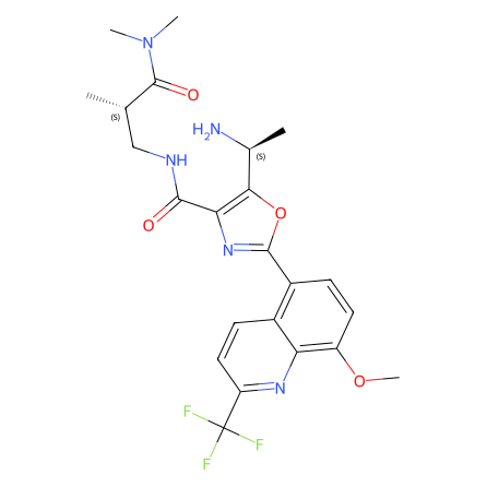 COc1ccc(-c2nc(C(=O)NC[C@H](C)C(=O)N(C)C)c([C@H](C)N)o2)c2ccc(C(F)(F)F)nc12